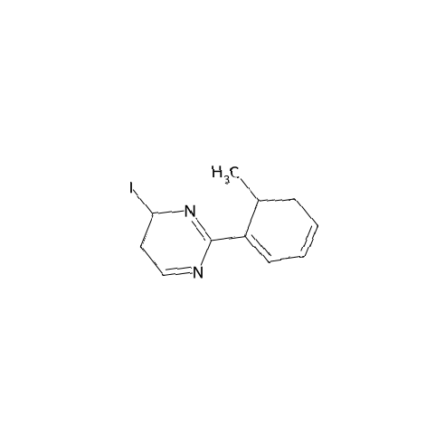 CC1CC=CC=C1C1=NC(I)CC=N1